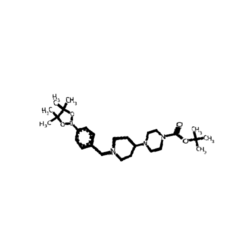 CC(C)(C)OC(=O)N1CCN(C2CCN(Cc3ccc(B4OC(C)(C)C(C)(C)O4)cc3)CC2)CC1